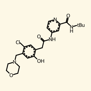 CC(C)(C)NC(=O)c1cc(NC(=O)Cc2cc(Cl)c(CN3CCOCC3)cc2O)ccn1